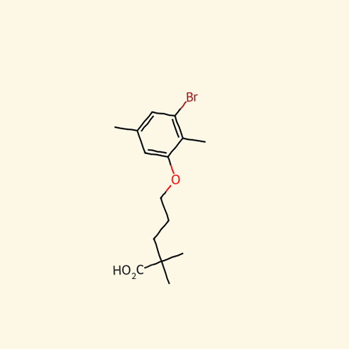 Cc1cc(Br)c(C)c(OCCCC(C)(C)C(=O)O)c1